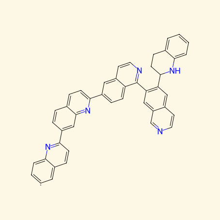 [c]1ccc2nc(-c3ccc4ccc(-c5ccc6c(-c7cc8cnccc8cc7C7CCc8ccccc8N7)nccc6c5)nc4c3)ccc2c1